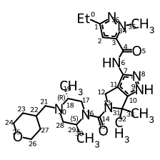 CCc1cc(C(=O)Nc2n[nH]c3c2CN(C(=O)N2C[C@@H](C)N(CC4CCOCC4)C[C@@H]2C)C3(C)C)n(C)n1